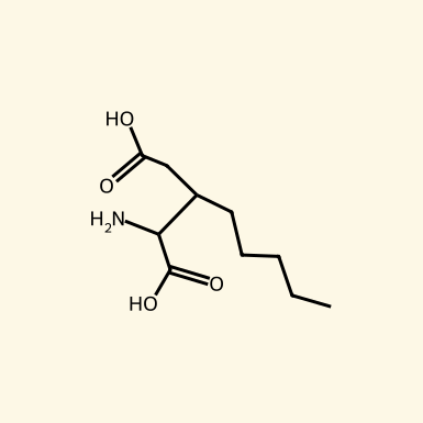 CCCCCC(CC(=O)O)C(N)C(=O)O